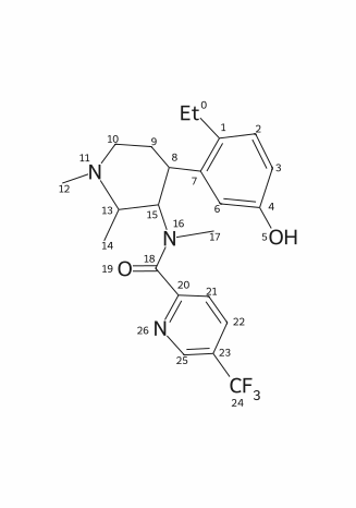 CCc1ccc(O)cc1C1CCN(C)C(C)C1N(C)C(=O)c1ccc(C(F)(F)F)cn1